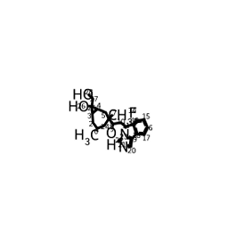 CC1CC2C(CC(C)(C(O)CC3c4c(F)cccc4-c4cncn43)C1)C2(O)CO